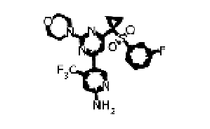 Nc1cc(C(F)(F)F)c(-c2cc(C3(S(=O)(=O)c4cccc(F)c4)CC3)nc(N3CCOCC3)n2)cn1